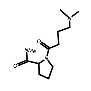 CNC(=O)C1CCCN1C(=O)CCCN(C)C